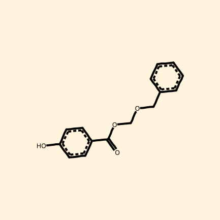 O=C(OCOCc1ccccc1)c1ccc(O)cc1